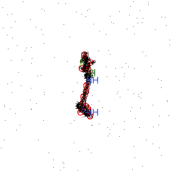 CCOc1cc2oc(-c3ccc(NCCOCCOCCOCCOc4cccc5c4C(=O)N(C4CCC(=O)NC4=O)C5=O)cc3Cl)cc(=O)c2cc1-c1ccc(OC)cc1F